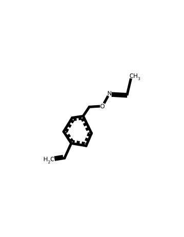 C=Cc1ccc(CON=CC)cc1